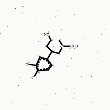 CN(CC(CCO)c1ccc(Cl)c(Cl)c1)C(=O)O